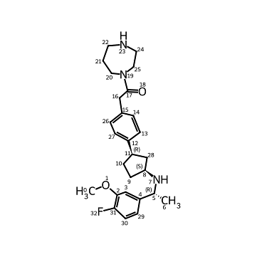 COc1cc([C@@H](C)N[C@H]2CC[C@@H](c3ccc(CC(=O)N4CCCNCC4)cc3)C2)ccc1F